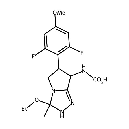 CCOC1(C)NN=C2C(NC(=O)O)C(c3c(F)cc(OC)cc3F)CN21